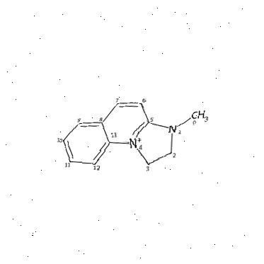 CN1CC[n+]2c1ccc1ccccc12